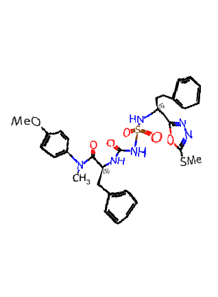 COc1ccc(N(C)C(=O)[C@H](Cc2ccccc2)NC(=O)NS(=O)(=O)N[C@@H](Cc2ccccc2)c2nnc(SC)o2)cc1